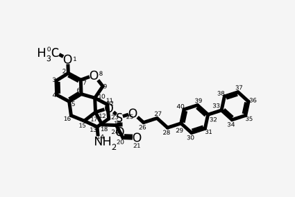 COc1ccc2c3c1OCC31CCC(N)C(C2)C1(CCC=O)OS(=O)OCCCc1ccc(-c2ccccc2)cc1